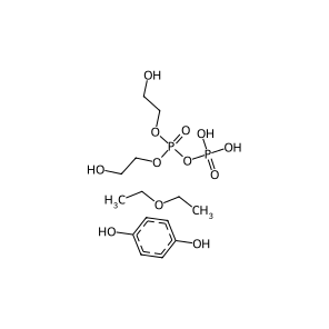 CCOCC.O=P(O)(O)OP(=O)(OCCO)OCCO.Oc1ccc(O)cc1